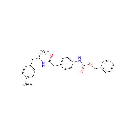 COc1ccc(C[C@H](NC(=O)Cc2ccc(NC(=O)OCc3ccccc3)cc2)C(=O)O)cc1